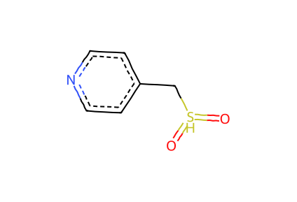 O=[SH](=O)Cc1ccncc1